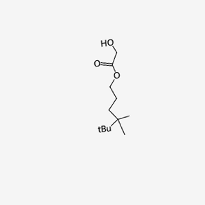 CC(C)(C)C(C)(C)CCCOC(=O)CO